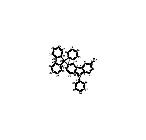 Brc1ccc2c(c1)c1cc(C3(c4ccccc4)c4ccccc4-c4ccccc43)ccc1n2-c1ccccc1